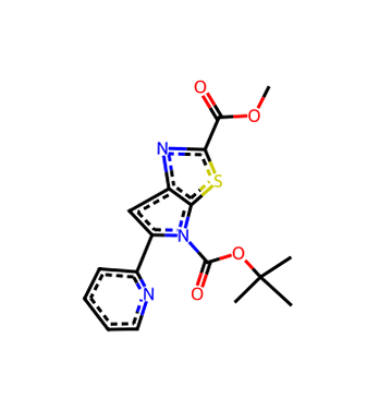 COC(=O)c1nc2cc(-c3ccccn3)n(C(=O)OC(C)(C)C)c2s1